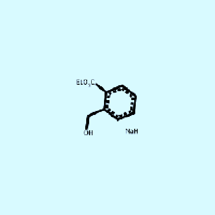 CCOC(=O)c1ccccc1CO.[NaH]